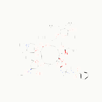 CO[C@@H]1[C@H](O)[C@@H](C)O[C@@H](OCC(C)[C@H]2OC(=O)[C@H](C)[C@@H](O[C@H]3CC(C)N(C)C[C@H](C)O3)[C@H](C)[C@@H](O[C@@H]3O[C@H](C)CC(=NOCC(F)(F)F)[C@H]3O)[C@@H](C)C[C@](C)(OC(=O)NC(C)(C)CNS(=O)(=O)c3ccccc3)C(=O)[C@H](C)[C@H](OC(=O)CC(C)C)[C@H]2C)[C@@H]1OC